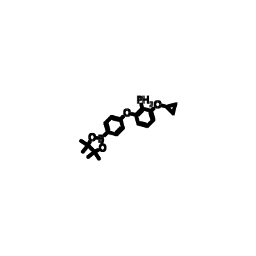 CC1(C)OB(c2ccc(Oc3cccc(OC4CC4)c3P)cc2)OC1(C)C